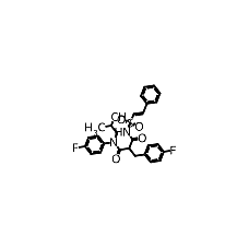 CC(C)CN(C(=O)C(Cc1ccc(F)cc1)C(=O)NS(=O)(=O)/C=C/c1ccccc1)c1ccc(F)cc1